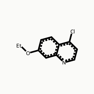 CCOc1ccc2c(Cl)ccnc2c1